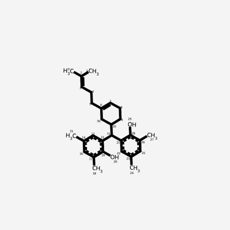 CC(C)=CCCC1=CCCC(C(c2cc(C)cc(C)c2O)c2cc(C)cc(C)c2O)C1